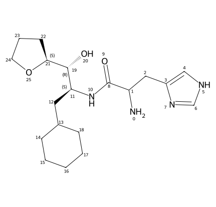 NC(Cc1c[nH]cn1)C(=O)N[C@@H](CC1CCCCC1)[C@@H](O)[C@@H]1CCCO1